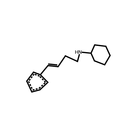 C(=Cc1ccccc1)CCNC1CCCCC1